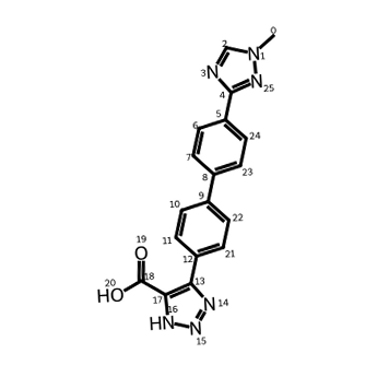 Cn1cnc(-c2ccc(-c3ccc(-c4nn[nH]c4C(=O)O)cc3)cc2)n1